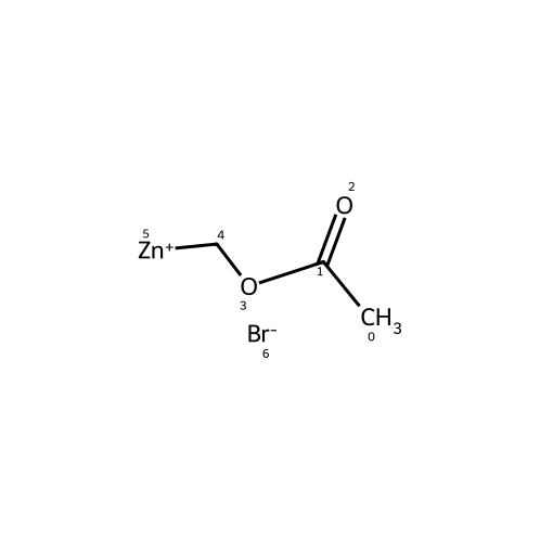 CC(=O)O[CH2][Zn+].[Br-]